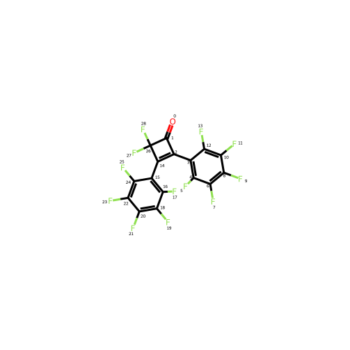 O=C1C(c2c(F)c(F)c(F)c(F)c2F)=C(c2c(F)c(F)c(F)c(F)c2F)C1(F)F